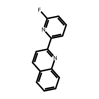 Fc1cccc(-c2ccc3ccccc3n2)n1